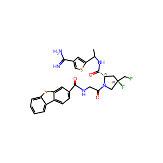 CC(NC(=O)[C@@H]1C[C@](F)(CF)CN1C(=O)CNC(=O)c1ccc2c(c1)sc1ccccc12)c1cc(C(=N)N)cs1